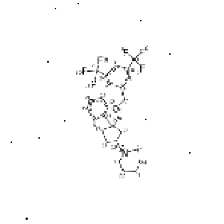 FC(F)(F)c1cc(COCC2(c3ccccc3)CCC(N3CCCCC3)C2)cc(C(F)(F)F)c1